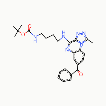 Cc1nnc2c(NCCCCNC(=O)OC(C)(C)C)nc3cc(C(=O)c4ccccc4)ccc3n12